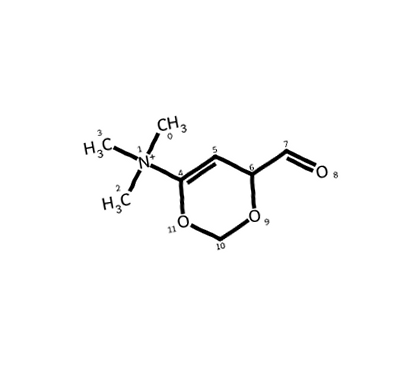 C[N+](C)(C)C1=CC(C=O)OCO1